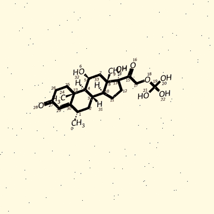 C[C@H]1C[C@@H]2[C@H]([C@@H](O)C[C@@]3(C)[C@H]2CC[C@]3(O)C(=O)COC(O)(O)O)[C@@]2(C)CCC(=O)C=C12